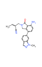 C/C=C(\C#N)CN1Cc2c(-c3ccc4cnn(C)c4c3)ccc(N)c2C1=O